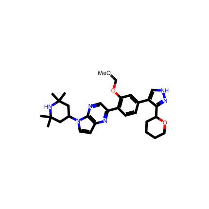 COCOc1cc(-c2c[nH]nc2C2CCCCO2)ccc1-c1cnc2c(ccn2C2CC(C)(C)NC(C)(C)C2)n1